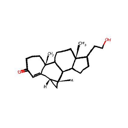 C[C@]12CCC3C(C1CCC2CCO)[C@@H]1C[C@@H]1C1=CC(=O)CC[C@@]13C